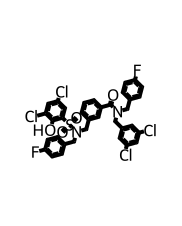 O=C(c1cccc(CN(Cc2ccc(F)cc2)S(=O)(=O)c2cc(Cl)cc(Cl)c2O)c1)N(Cc1ccc(F)cc1)Cc1cc(Cl)cc(Cl)c1